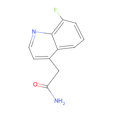 NC(=O)Cc1ccnc2c(F)cccc12